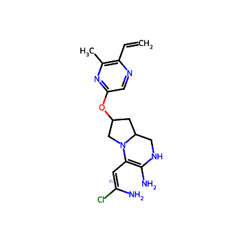 C=Cc1ncc(OC2CC3CNC(N)=C(/C=C(\N)Cl)N3C2)nc1C